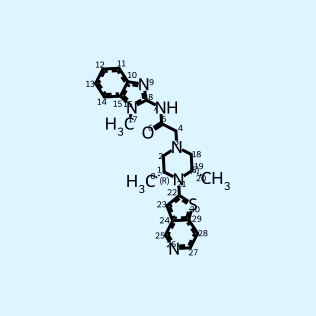 C[C@@H]1CN(CC(=O)Nc2nc3ccccc3n2C)C[C@H](C)N1c1cc2cnccc2s1